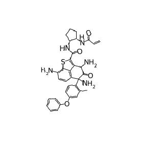 C=CC(=O)N[C@@H]1CCC[C@@H]1NC(=O)c1sc2c(N)ccc3c2c1C(N)C(=O)C3(N)c1ccc(Oc2ccccc2)cc1C